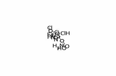 Cl.N[C@@H](Cc1ccc(-c2csc3c(O[C@H](c4ccc(Cl)cc4C4=CCCOC4)C(F)(F)F)ncnc23)cc1)C(=O)O